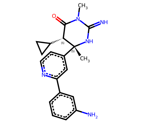 CN1C(=N)N[C@](C)(c2ccnc(-c3cccc(N)c3)c2)[C@H](C2CC2)C1=O